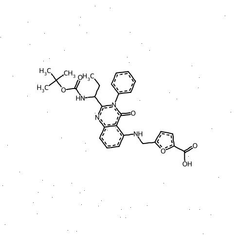 CCC(NC(=O)OC(C)(C)C)c1nc2cccc(NCc3ccc(C(=O)O)o3)c2c(=O)n1-c1ccccc1